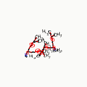 CCCCCC(CCCCC)CCOC(=O)CCCCCCCCCC(CCCCCCCCCC(=O)OCC(C(C)CCCC(CCCCC)CCOC(=O)CCCCCCCCCC1(CCCCCCCCCC(=O)OCCC(CCCCC)CCCCC)OCC(CN(C)C(C)C)O1)C(CCCCC)CCCCC)COCCCN1CCCCC1